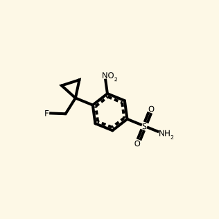 NS(=O)(=O)c1ccc(C2(CF)CC2)c([N+](=O)[O-])c1